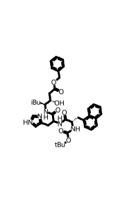 CCC(C)[C@H](NC(=O)C(Cc1c[nH]cn1)NC(=O)[C@H](Cc1cccc2ccccc12)NC(=O)OC(C)(C)C)[C@@H](O)CC(=O)OCc1ccccc1